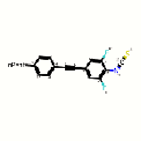 CCCCCc1ccc(C#Cc2cc(F)c(N=C=S)c(F)c2)cc1